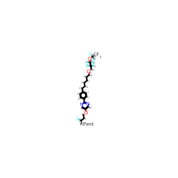 CCCCC[C@@H](F)CCOc1cnc(-c2ccc(CCCCCCOCC(F)(F)C(F)(F)OC(F)(F)C(F)(F)F)cc2)nc1